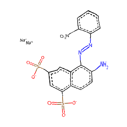 Nc1ccc2c(S(=O)(=O)[O-])cc(S(=O)(=O)[O-])cc2c1N=Nc1ccccc1[N+](=O)[O-].[Na+].[Na+]